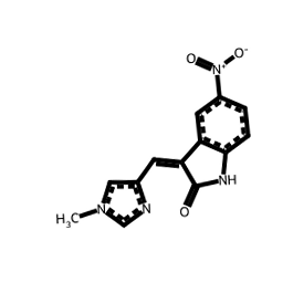 Cn1cnc(/C=C2\C(=O)Nc3ccc([N+](=O)[O-])cc32)c1